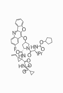 C=C[C@@H]1C[C@]1(NC(=O)[C@@H]1C[C@@H](Oc2c3cc(F)ccc3nc3c2oc2ccccc23)CN1C(=O)[C@@H](NC(=O)OC1CCCC1)C(C)C)C(=O)NS(=O)(=O)C1CC1